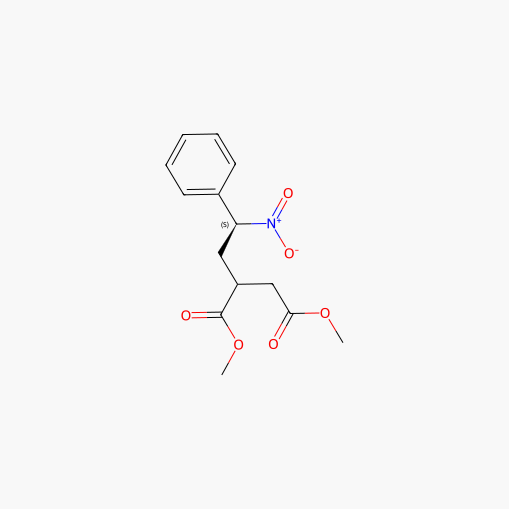 COC(=O)CC(C[C@@H](c1ccccc1)[N+](=O)[O-])C(=O)OC